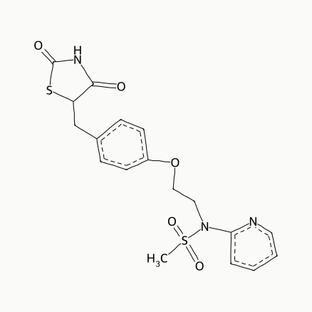 CS(=O)(=O)N(CCOc1ccc(CC2SC(=O)NC2=O)cc1)c1ccccn1